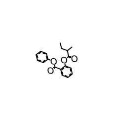 CCC(C)C(=O)Oc1ccccc1C(=O)Oc1ccccc1